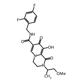 COCC(C)N1CCn2cc(C(=O)NCc3ccc(F)cc3F)c(=O)c(O)c2C1=O